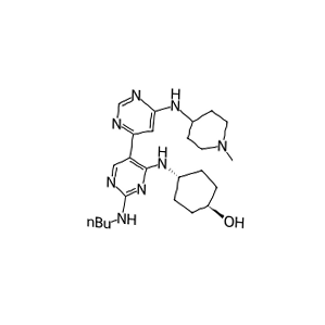 CCCCNc1ncc(-c2cc(NC3CCN(C)CC3)ncn2)c(N[C@H]2CC[C@H](O)CC2)n1